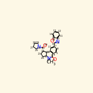 CN(C(=O)c1ccc(-c2nc3ccccc3o2)cc1)[C@@H]1CC[C@H](C(=O)N2CCCC2)C1